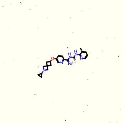 Cc1cccnc1NC(=S)NC(=N)c1ccc(OC2CC3(C2)CN(C2CC2)C3)cn1